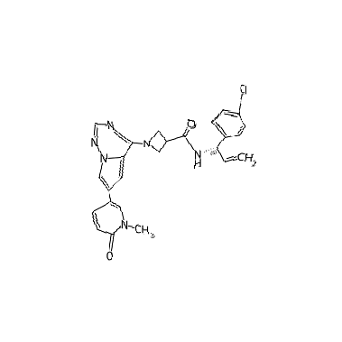 C=C[C@H](NC(=O)C1CN(c2ncnn3cc(-c4ccc(=O)n(C)c4)cc23)C1)c1ccc(Cl)cc1